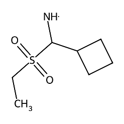 CCS(=O)(=O)C([NH])C1CCC1